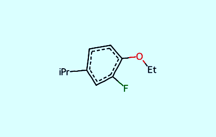 [CH2]C(C)c1ccc(OCC)c(F)c1